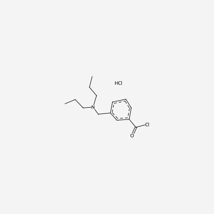 CCCN(CCC)Cc1cccc(C(=O)Cl)c1.Cl